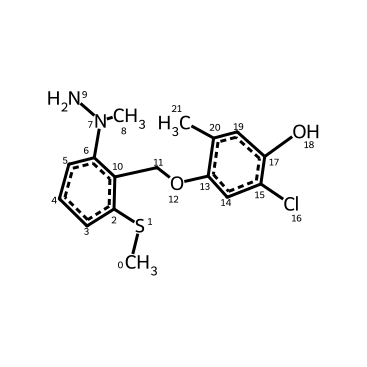 CSc1cccc(N(C)N)c1COc1cc(Cl)c(O)cc1C